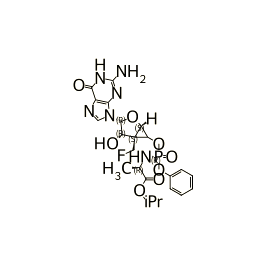 CC(C)OC(=O)[C@@H](C)N[P@](=O)(Oc1ccccc1)OC1[C@H]2O[C@@H](n3cnc4c(=O)[nH]c(N)nc43)[C@H](O)[C@@]12CF